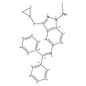 IPn1nc(CC2CC2)c2cc(N=C(c3ccccc3)c3ccccc3)ccc21